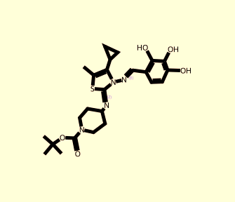 Cc1s/c(=N\C2CCN(C(=O)OC(C)(C)C)CC2)n(/N=C/c2ccc(O)c(O)c2O)c1C1CC1